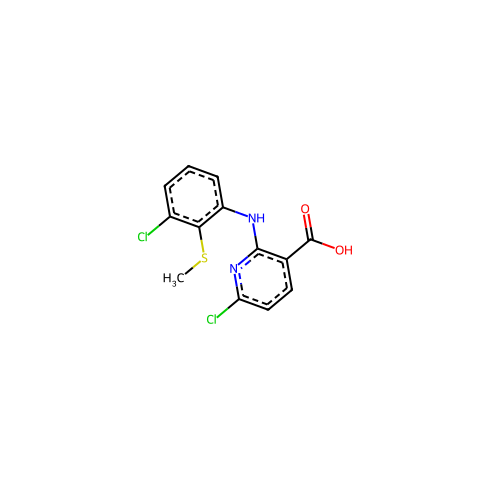 CSc1c(Cl)cccc1Nc1nc(Cl)ccc1C(=O)O